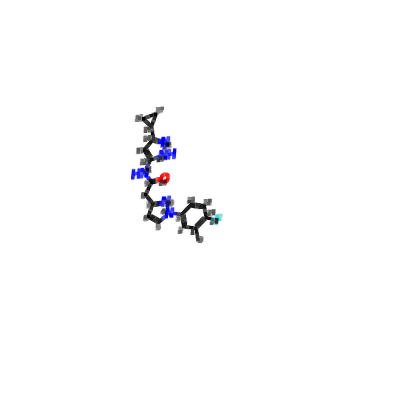 Cc1cc(-n2ccc(CC(=O)Nc3cc(C4CC4)n[nH]3)n2)ccc1F